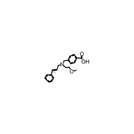 COCCN(C/C=C/c1ccccc1)Cc1ccc(C(=O)O)cc1